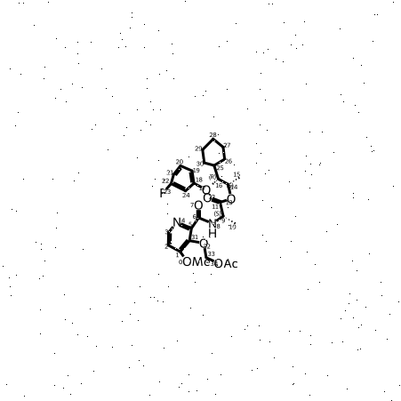 COc1ccnc(C(=O)N[C@@H](C)C(=O)O[C@@H](C)[C@H](Oc2cccc(F)c2)C2CCCCC2)c1OCOC(C)=O